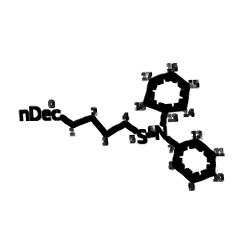 CCCCCCCCCCCCCCSN(c1ccccc1)c1ccccc1